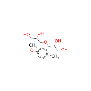 COc1ccc(C)cc1.OCC(O)COCC(O)CO